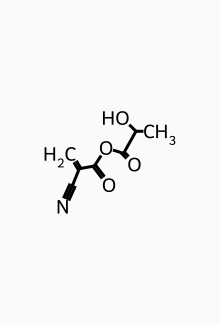 C=C(C#N)C(=O)OC(=O)C(C)O